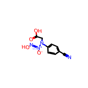 N#Cc1ccc(N(CC(=O)O)/[N+]([O-])=N/O)cc1